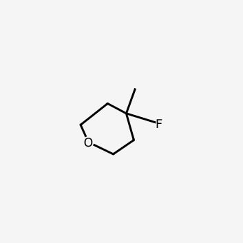 CC1(F)CCOCC1